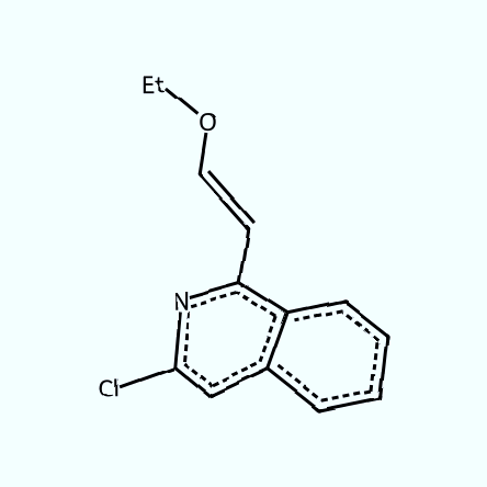 CCOC=Cc1nc(Cl)cc2ccccc12